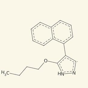 CCCCOc1[nH]n[c]c1-c1cccc2ccccc12